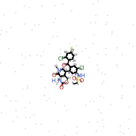 CCS(=O)(=O)Nc1cc(-c2cn(C)c(=O)cc2COC(N)=O)c(C(=O)c2ccc(F)cc2Cl)cc1Cl